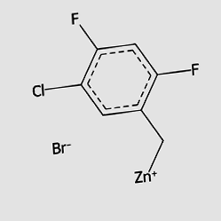 Fc1cc(F)c([CH2][Zn+])cc1Cl.[Br-]